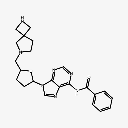 O=C(Nc1ncnc2c1ncn2C1CCC(CN2CCC3(CNC3)C2)O1)c1ccccc1